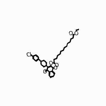 CCOC(=O)CCCCCCCCCCCCC(=O)OC1=C(C2CCC(c3ccc(Cl)cc3)CC2)C(=O)c2ccccc2C1=O